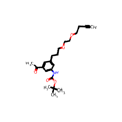 C#CCCOCCOCCCc1cc(NC(=O)OC(C)(C)C)cc(C(C)=O)c1